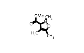 COC(=O)C1C(C)=C(C)ON1C